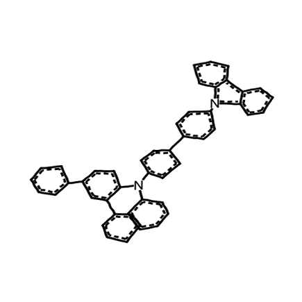 c1ccc(-c2ccc(N(c3ccccc3)c3ccc(-c4ccc(-n5c6ccccc6c6ccccc65)cc4)cc3)c(-c3ccccc3)c2)cc1